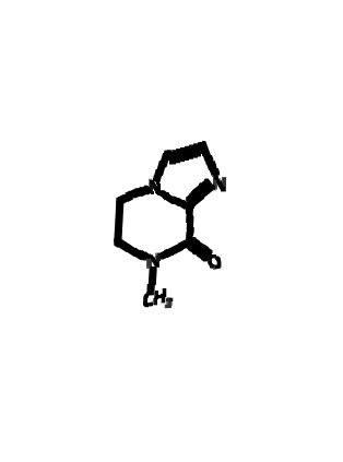 CN1CCn2ccnc2C1=O